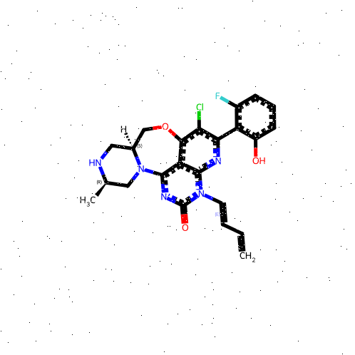 C=C/C=C/n1c(=O)nc2c3c(c(Cl)c(-c4c(O)cccc4F)nc31)OC[C@@H]1CN[C@H](C)CN21